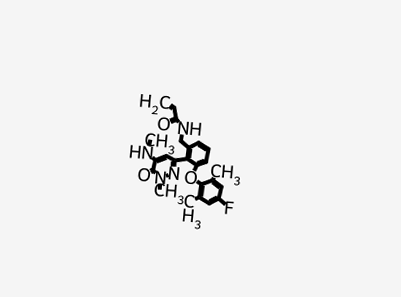 C=CC(=O)NCc1cccc(Oc2c(C)cc(F)cc2C)c1-c1cc(NC)c(=O)n(C)n1